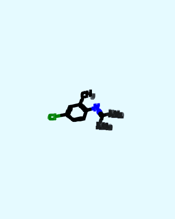 CNC(=Nc1ccc(Cl)cc1C)NC